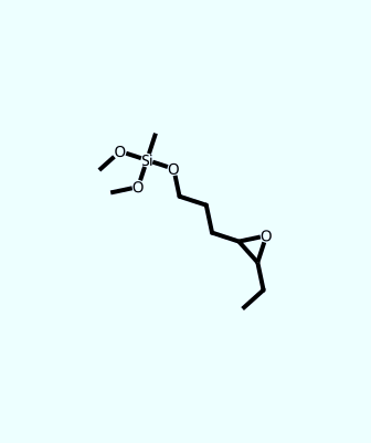 CCC1OC1CCCO[Si](C)(OC)OC